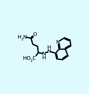 NC(=O)CCC(NNc1cccc2cccnc12)C(=O)O